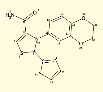 NC(=O)C1=CSC(c2cccs2)N1c1ccc2c(c1)OCCO2